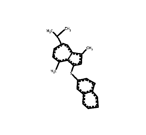 Cc1cc(Sc2ccc3ccccc3c2)c2c(C)ccc(C(C)C)cc1-2